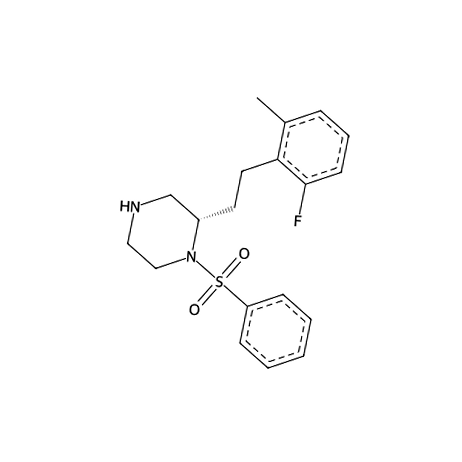 Cc1cccc(F)c1CC[C@H]1CNCCN1S(=O)(=O)c1ccccc1